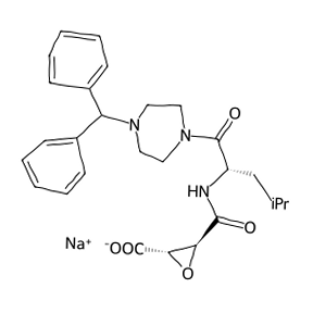 CC(C)C[C@H](NC(=O)[C@H]1O[C@@H]1C(=O)[O-])C(=O)N1CCN(C(c2ccccc2)c2ccccc2)CC1.[Na+]